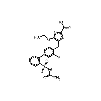 CCOc1oc(C(=O)O)nc1Cc1ccc(-c2ccccc2S(=O)(=O)NC(C)=O)cc1F